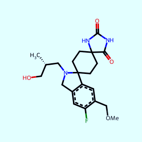 COCc1cc2c(cc1F)CN(C[C@@H](C)CO)C21CCC2(CC1)NC(=O)NC2=O